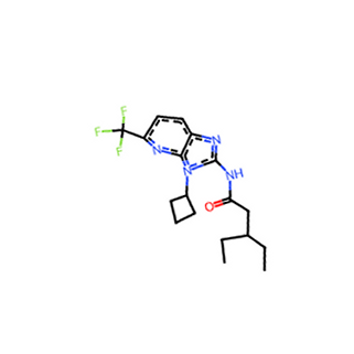 CCC(CC)CC(=O)Nc1nc2ccc(C(F)(F)F)nc2n1C1CCC1